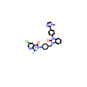 Cn1ccnc1-c1ccc(-n2c(=O)n(CC3CCC(NC(=O)c4cc(Cl)cnc4C(F)F)CC3)c3ccccc32)cc1